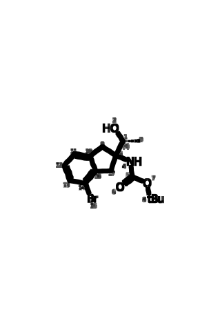 C[C@@H](O)C1(NC(=O)OC(C)(C)C)Cc2cccc(Br)c2C1